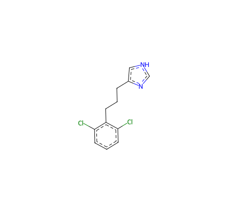 Clc1cccc(Cl)c1CCCc1c[nH]cn1